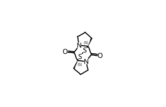 O=C1N2CCC[C@@]23SS[C@@]12CCCN2C3=O